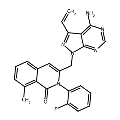 C=Cc1nn(Cc2cc3cccc(C)c3c(=O)n2-c2ccccc2F)c2ncnc(N)c12